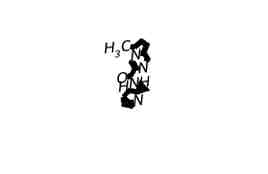 Cc1ccc2cnc(C(=O)N[C@H]3C4CCN(CC4)C34CC4)cn12